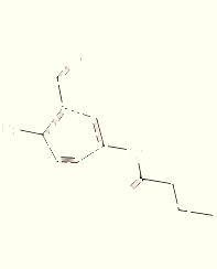 CC[CH]C(=O)Oc1ccc(Br)c(C=O)c1